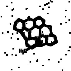 Cc1cc2n(n1)[N+]13c4c(ccc5c4-n4c6c(cccc6c6ccn[n+]1c64)S5)Oc1cccc-2[n+]13